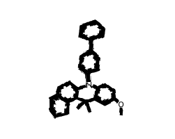 COc1ccc2c(c1)C(C)(C)c1c(ccc3ccccc13)N2c1ccc(-c2ccccc2)cc1